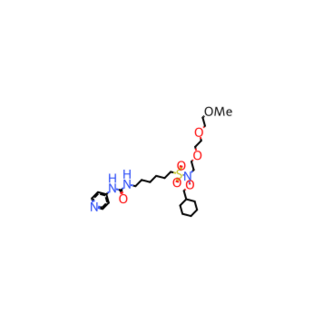 COCCOCCOCCN(OCC1CCCCC1)S(=O)(=O)CCCCCCNC(=O)Nc1ccncc1